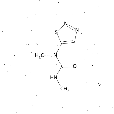 CNC(=O)N(C)c1cnns1